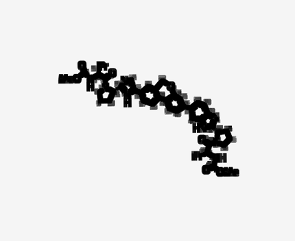 COC(=O)N[C@H](C(=O)N1CCC[C@H]1c1ncc(-c2ccc3c(c2)COc2cc(-c4ccc5nc([C@@H]6CCCN6C(=O)[C@@H](NC(=O)OC)C(C)C)[nH]c5c4)ccc2-3)[nH]1)C(C)C